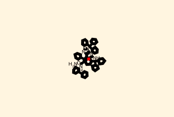 Nc1cccc(-c2ccccc2)c1NC(=O)CC(c1ccccc1)c1cc(NC(c2ccccc2)(c2ccccc2)c2ccccc2)nc2c1nnn2C(c1ccccc1)(c1ccccc1)c1ccccc1